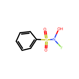 O=S(=O)(c1ccccc1)N(O)F